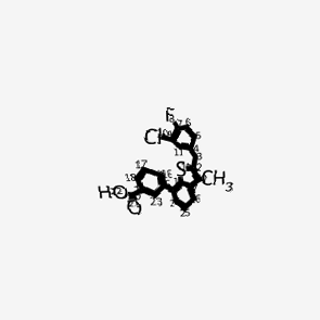 Cc1c(Cc2ccc(F)c(Cl)c2)sc2c(-c3cccc(C(=O)O)c3)cccc12